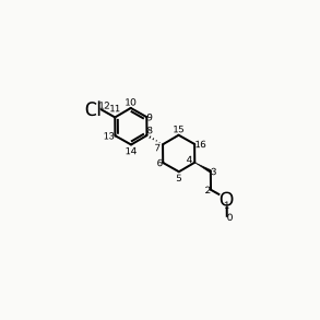 COCC[C@H]1CC[C@H](c2ccc(Cl)cc2)CC1